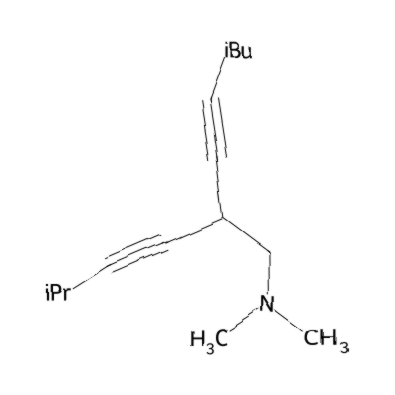 CCC(C)C#CC(C#CC(C)C)CN(C)C